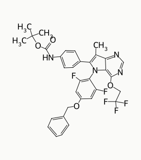 Cc1c(-c2ccc(NC(=O)OC(C)(C)C)cc2)n(-c2c(F)cc(OCc3ccccc3)cc2F)c2c(OCC(F)(F)F)ncnc12